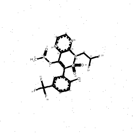 CS(=O)OC1=C(c2cc(C(F)(F)F)ccc2Cl)S(=O)(=O)N(CC(F)F)c2nccnc21